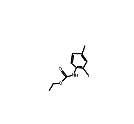 CCOC(=O)Nc1ccc(C)cc1I